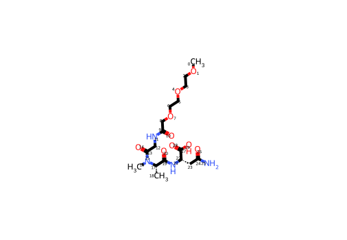 COCCOCCOCC(=O)NCC(=O)N(C)[C@@H](C)C(=O)N[C@@H](CC(N)=O)C(=O)O